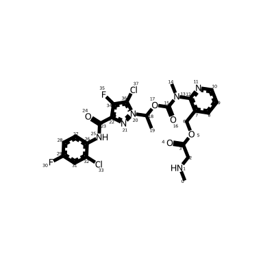 CNCC(=O)OCc1cccnc1N(C)C(=O)OC(C)n1nc(C(=O)Nc2ccc(F)cc2Cl)c(F)c1Cl